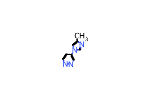 Cc1cn(-c2ccnnc2)cn1